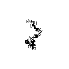 CC(=O)c1c(C)c2cnc(Nc3ccc(N(C)CCN(C)c4ncc(CCC(=O)NO)cn4)cn3)nc2n(C2CCCC2)c1=O